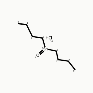 CCC[CH2][Sn](=[O])[CH2]CCC.Cl